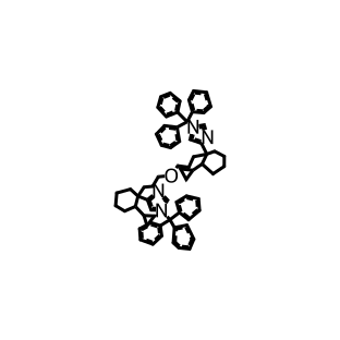 c1ccc(C(c2ccccc2)(c2ccccc2)n2cnc(C3(CCCOCCCC4(c5cn(C(c6ccccc6)(c6ccccc6)c6ccccc6)cn5)CCCCC4C4CC4)CCCCC3C3CC3)c2)cc1